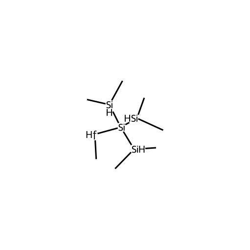 [CH3][Hf][Si]([SiH](C)C)([SiH](C)C)[SiH](C)C